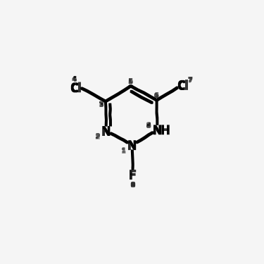 FN1N=C(Cl)C=C(Cl)N1